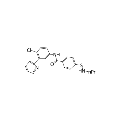 CCCNSc1ccc(C(=O)Nc2ccc(Cl)c(-c3ccccn3)c2)cc1